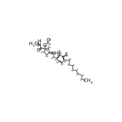 CCCCCCCCCc1ccc(CNC2CCC(OC=O)(C(=O)NC)C2)c(F)c1F